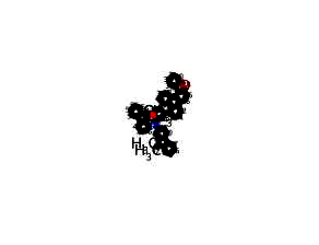 CC1(C)c2ccccc2-c2ccc(N(c3cccc(-c4cccc5c6ccc7oc8ccccc8c7c6c6ccccc6c45)c3)c3cccc4c3C(C)(C)c3ccccc3-4)cc21